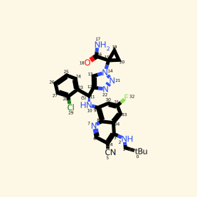 CC(C)(C)CNc1c(C#N)cnc2c(N[C@H](c3cn(C4(C(N)=O)CC4)nn3)c3ccccc3Cl)cc(F)cc12